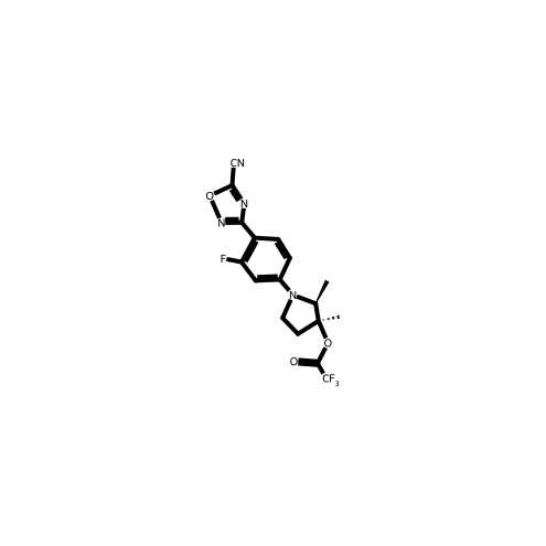 C[C@@H]1N(c2ccc(-c3noc(C#N)n3)c(F)c2)CC[C@]1(C)OC(=O)C(F)(F)F